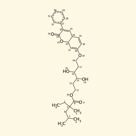 CCC(C)(CC(C)C)C(=O)OCCC(O)C(O)CCOC1=CC2OC(=O)C(c3ccccc3)=CC2C=C1